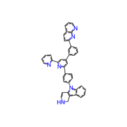 C1=Cc2c(c3ccccc3n2-c2ccc(-c3cc(-c4cccc(-c5ccc6cccnc6n5)c4)cc(-c4ccccn4)n3)cc2)CN1